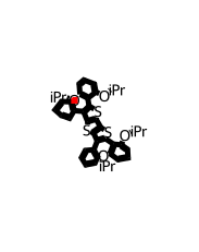 CC(C)Oc1cccc(OC(C)C)c1-c1sc2c(sc3c(-c4ccccc4)c(-c4c(OC(C)C)cccc4OC(C)C)sc32)c1-c1ccccc1